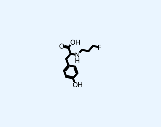 O=C(O)C(Cc1ccc(O)cc1)NCCCF